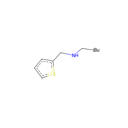 CCC(C)CNCc1cc[c]s1